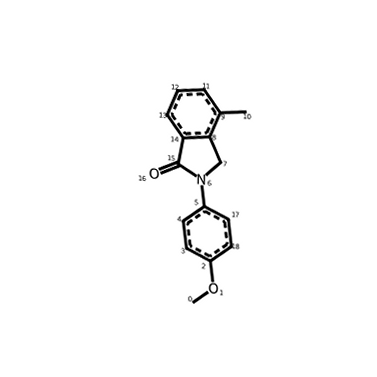 COc1ccc(N2Cc3c(C)cccc3C2=O)cc1